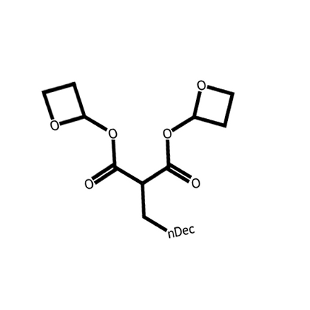 CCCCCCCCCCCC(C(=O)OC1CCO1)C(=O)OC1CCO1